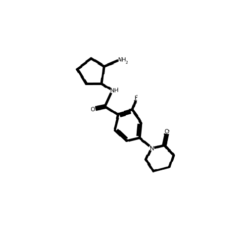 NC1CCCC1NC(=O)c1ccc(N2CCCCC2=O)cc1F